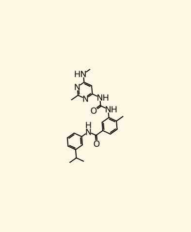 CNc1cc(NC(=O)Nc2cc(C(=O)Nc3cccc(C(C)C)c3)ccc2C)nc(C)n1